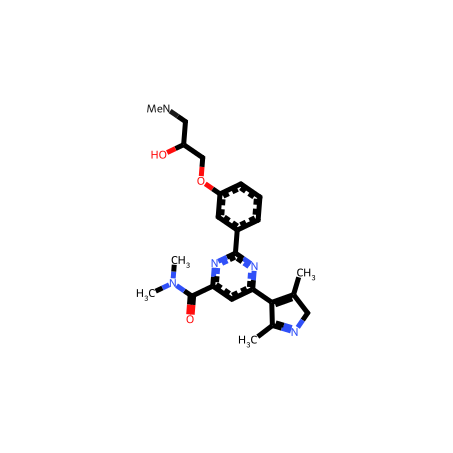 CNCC(O)COc1cccc(-c2nc(C(=O)N(C)C)cc(C3=C(C)CN=C3C)n2)c1